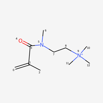 C=C(C)C(=O)N(C)CC[N+](C)(C)C